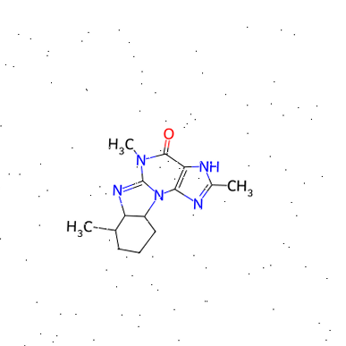 Cc1nc2c([nH]1)C(=O)N(C)C1=NC3C(C)CCCC3N12